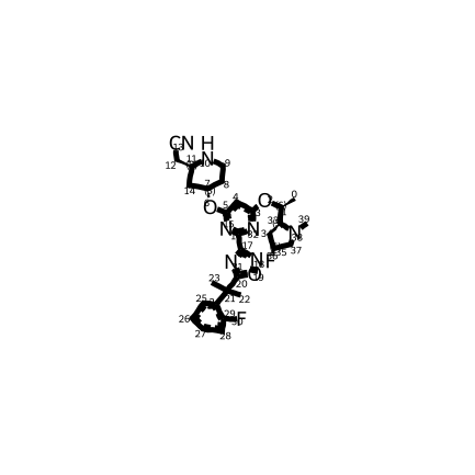 C[C@H](Oc1cc(O[C@H]2CCN[C@H](CC#N)C2)nc(-c2noc(C(C)(C)c3ccccc3F)n2)n1)[C@@H]1C[C@H](F)CN1C